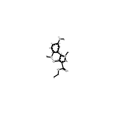 CCOC(=O)c1nn(C)c(-c2cc(OC)ccc2OC)c1Cl